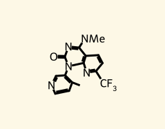 CNc1nc(=O)n(-c2cnccc2C)c2nc(C(F)(F)F)ccc12